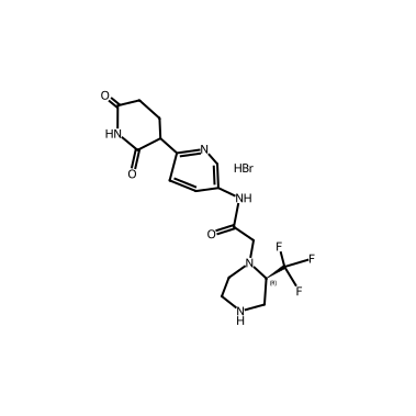 Br.O=C1CCC(c2ccc(NC(=O)CN3CCNC[C@@H]3C(F)(F)F)cn2)C(=O)N1